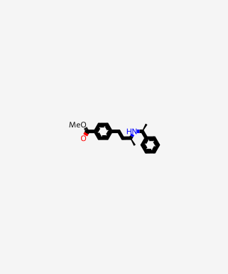 COC(=O)c1ccc(CC[C@H](C)N[C@@H](C)c2ccccc2)cc1